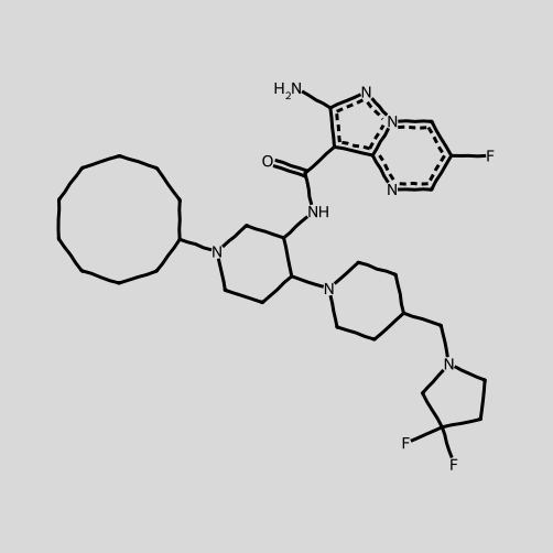 Nc1nn2cc(F)cnc2c1C(=O)NC1CN(C2CCCCCCCCC2)CCC1N1CCC(CN2CCC(F)(F)C2)CC1